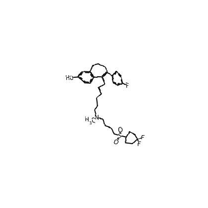 CN(CCCCCCC1=C(c2ccc(F)cc2)CCCc2cc(O)ccc21)CCCCS(=O)(=O)C1CCC(F)(F)CC1